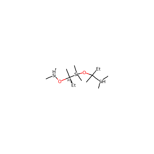 CCC(C)(O[Si](C)(C)[C@](C)(CC)O[SiH](C)C)[SiH](C)C